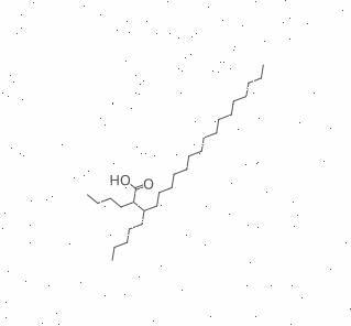 CCCCCCCCCCCCCCCCC(CCCCC)C(CCCC)C(=O)O